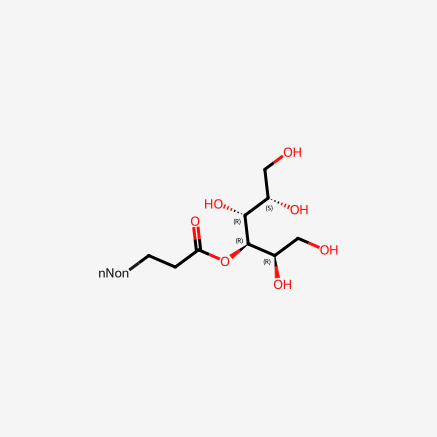 CCCCCCCCCCCC(=O)O[C@@H]([C@H](O)[C@@H](O)CO)[C@H](O)CO